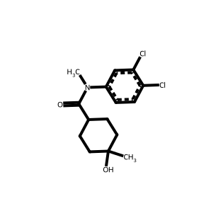 CN(C(=O)C1CCC(C)(O)CC1)c1ccc(Cl)c(Cl)c1